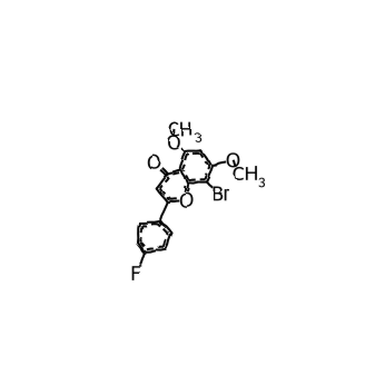 COc1cc(OC)c2c(=O)cc(-c3ccc(F)cc3)oc2c1Br